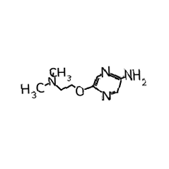 CN(C)CCOc1cnc(N)cn1